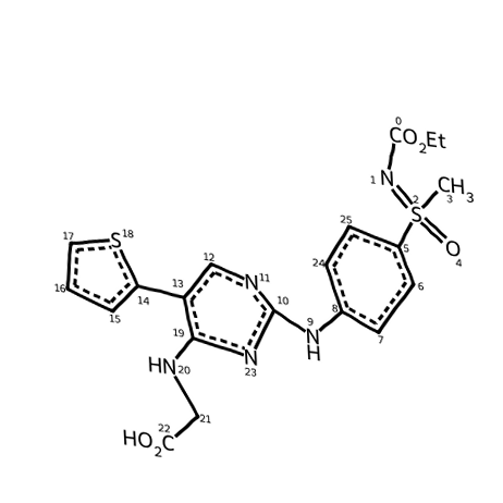 CCOC(=O)N=S(C)(=O)c1ccc(Nc2ncc(-c3cccs3)c(NCC(=O)O)n2)cc1